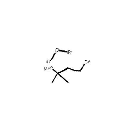 CC(C)OC(C)C.COC(C)(C)CCO